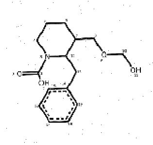 O=C(O)N1CCCC(COCO)C1Cc1ccccc1